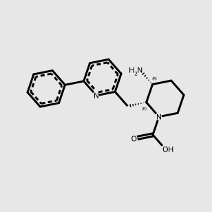 N[C@@H]1CCCN(C(=O)O)[C@@H]1Cc1cccc(-c2ccccc2)n1